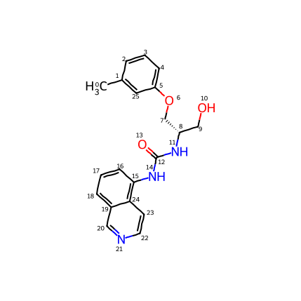 Cc1cccc(OC[C@H](CO)NC(=O)Nc2cccc3cnccc23)c1